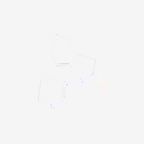 O=C1Cc2ccccc2N1.c1cncnc1